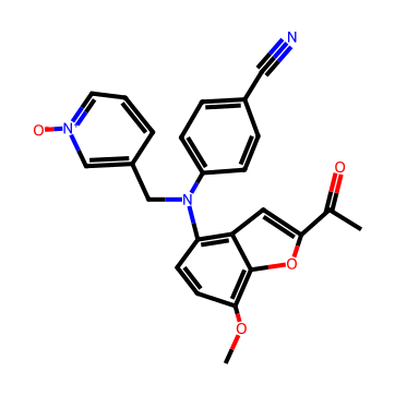 COc1ccc(N(Cc2ccc[n+]([O-])c2)c2ccc(C#N)cc2)c2cc(C(C)=O)oc12